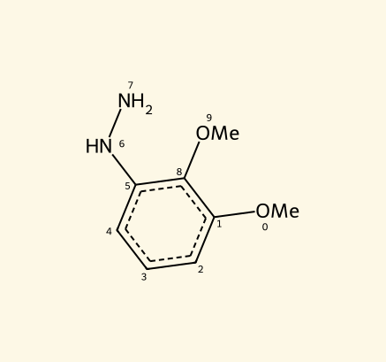 COc1cccc(NN)c1OC